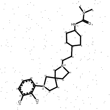 CN(C)C(=O)NC1CCC(CCN2CCC3(CCN(c4cccc(Cl)c4Cl)C3)C2)CC1